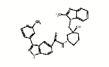 Cc1cc(-c2n[nH]c3ccc(C(=O)N[C@H]4CCC[C@@](O)(Cn5c(C(F)(F)F)nc6ccccc65)C4)cc23)ccn1